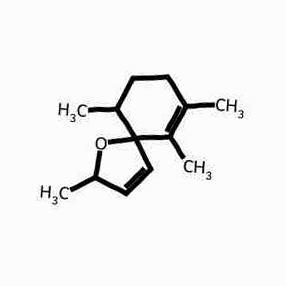 CC1=C(C)C2(C=CC(C)O2)C(C)CC1